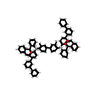 Cc1cc(-c2ccc(N(c3ccc(-c4cccc(-c5ccccc5)c4)cc3)c3ccccc3-c3cccc4ccccc34)c(C)c2)ccc1N(c1ccc(-c2cccc(-c3ccccc3)c2)cc1)c1ccccc1-c1cccc2ccccc12